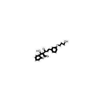 O=C(C=Cc1cccc(OCCCO)c1)c1c(O)c2ccccc2oc1=O